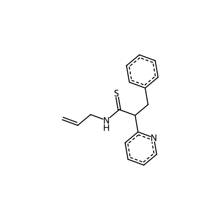 C=CCNC(=S)C(Cc1ccccc1)c1ccccn1